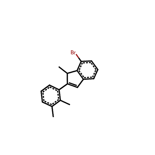 Cc1cccc(C2=Cc3cccc(Br)c3C2C)c1C